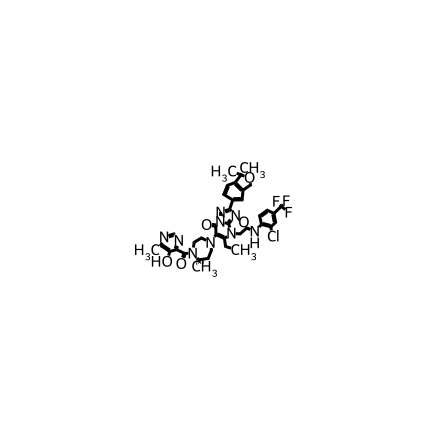 CCc1c(N2CC[C@@H](C)N(C(=O)c3ncnc(C)c3O)CC2)c(=O)n2nc(-c3ccc4c(c3)COC4(C)C)nc2n1CC(=O)Nc1ccc(C(F)(F)F)cc1Cl